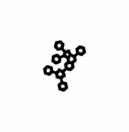 c1ccc(-c2nc(-c3ccccc3)nc(-c3ccc4cc(-c5ccccc5)n5nc(-c6ccccc6)c(-c6ccccc6)c5c4c3)n2)cc1